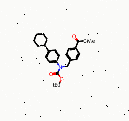 COC(=O)c1ccc(CN(C(=O)OC(C)(C)C)c2ccc(C3CCCCC3)cc2)cc1